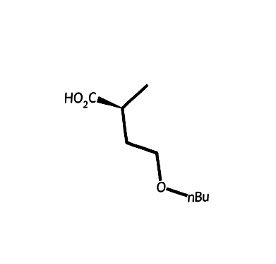 CCCCOCC[C@H](C)C(=O)O